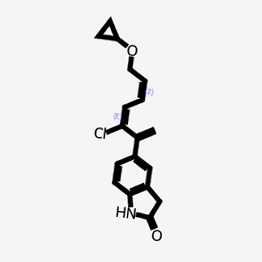 C=C(/C(Cl)=C\C=C/COC1CC1)c1ccc2c(c1)CC(=O)N2